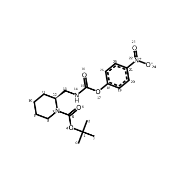 CC(C)(C)OC(=O)N1CCCC[C@H]1CNC(=O)Oc1ccc([N+](=O)[O-])cc1